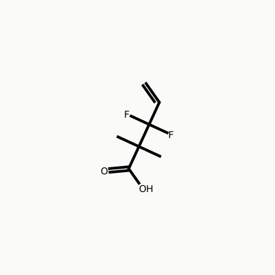 C=CC(F)(F)C(C)(C)C(=O)O